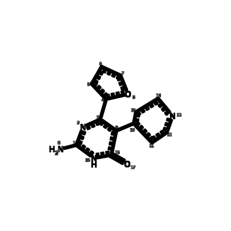 Nc1nc(-c2ccco2)c(-c2ccncc2)c(=O)[nH]1